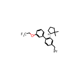 CC(C)Cc1ccc(-c2cccc(OCC(F)(F)F)c2)c([C@@H]2CCCC2(C)C)c1